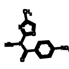 CCCCN(C(=O)c1ccc([N+](=O)[O-])cc1)c1nc(C)co1